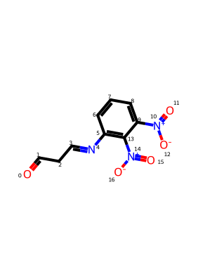 O=CCC=Nc1cccc([N+](=O)[O-])c1[N+](=O)[O-]